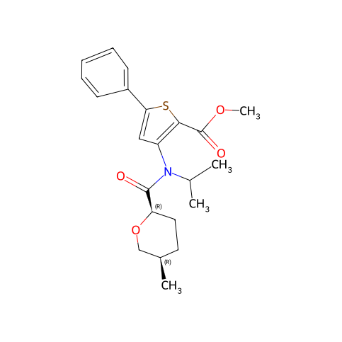 COC(=O)c1sc(-c2ccccc2)cc1N(C(=O)[C@H]1CC[C@@H](C)CO1)C(C)C